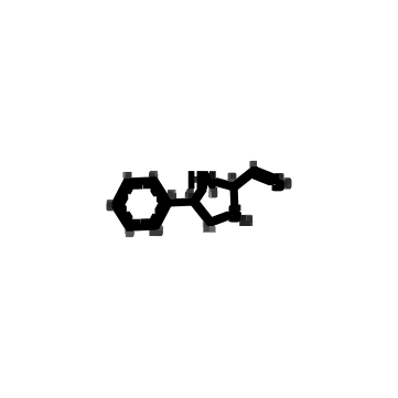 S=CC1NC(c2ccccc2)CS1